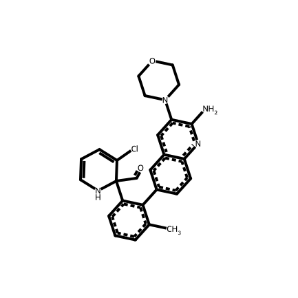 Cc1cccc(C2(C=O)NC=CC=C2Cl)c1-c1ccc2nc(N)c(N3CCOCC3)cc2c1